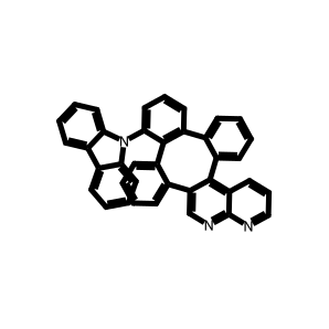 c1ccc2c(c1)-c1cnc3ncccc3c1-c1ccccc1-c1cccc(-n3c4ccccc4c4ccccc43)c1-2